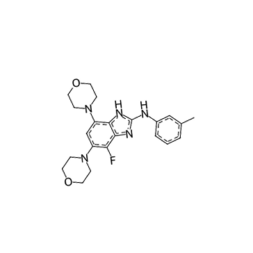 Cc1cccc(Nc2nc3c(F)c(N4CCOCC4)cc(N4CCOCC4)c3[nH]2)c1